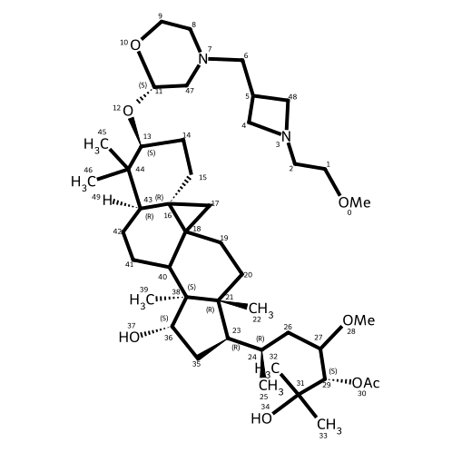 COCCN1CC(CN2CCO[C@@H](O[C@H]3CC[C@]45CC46CC[C@]4(C)[C@@H]([C@H](C)CC(OC)[C@H](OC(C)=O)C(C)(C)O)C[C@H](O)[C@@]4(C)C6CC[C@H]5C3(C)C)C2)C1